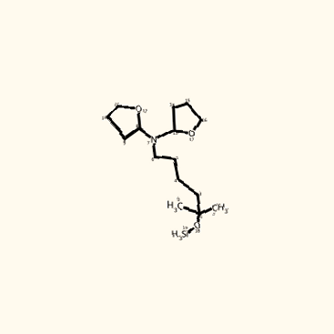 CC(C)(CCCCN(C1CCCO1)C1CCCO1)O[SiH3]